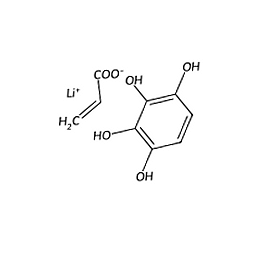 C=CC(=O)[O-].Oc1ccc(O)c(O)c1O.[Li+]